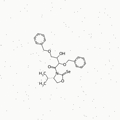 CC(C)[C@H]1COC(=[Se])N1C(=O)C(OCc1ccccc1)C(O)COCc1ccccc1